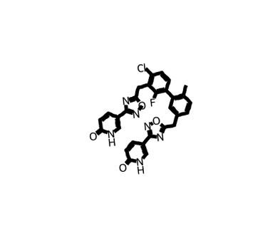 Cc1ccc(Cc2nc(-c3ccc(=O)[nH]c3)no2)cc1-c1ccc(Cl)c(Cc2nc(-c3ccc(=O)[nH]c3)no2)c1F